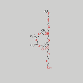 CC(O)COC(C)COC(C)COC(C)CO.COCCOCCOCCOCCOCCOCCOCCOCCO